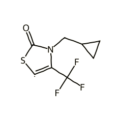 O=c1s[c]c(C(F)(F)F)n1CC1CC1